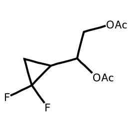 CC(=O)OCC(OC(C)=O)C1CC1(F)F